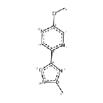 COc1cnc(-c2nc(C)no2)cn1